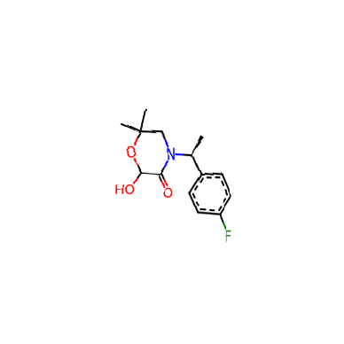 C[C@@H](c1ccc(F)cc1)N1CC(C)(C)OC(O)C1=O